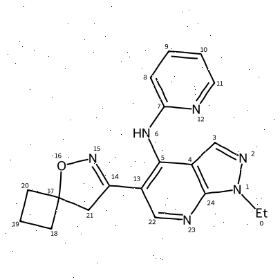 CCn1ncc2c(Nc3ccccn3)c(C3=NOC4(CCC4)C3)cnc21